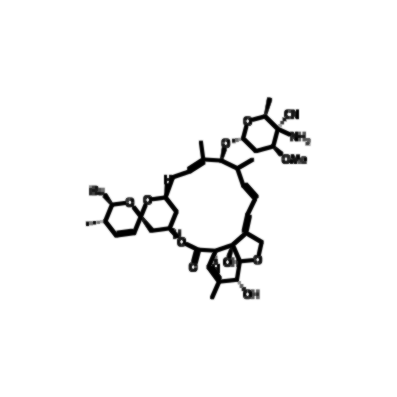 CCC(C)[C@H]1O[C@]2(C=C[C@@H]1C)C[C@@H]1C[C@@H](C/C=C(\C)[C@@H](O[C@H]3C[C@H](OC)[C@@](N)(C#N)[C@H](C)O3)C(C)/C=C/C=C3\COC4[C@H](O)C(C)=C[C@@H](C(=O)O1)[C@]34O)O2